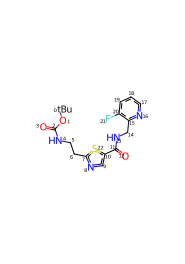 CC(C)(C)OC(=O)NCCc1ncc(C(=O)NCc2ncccc2F)s1